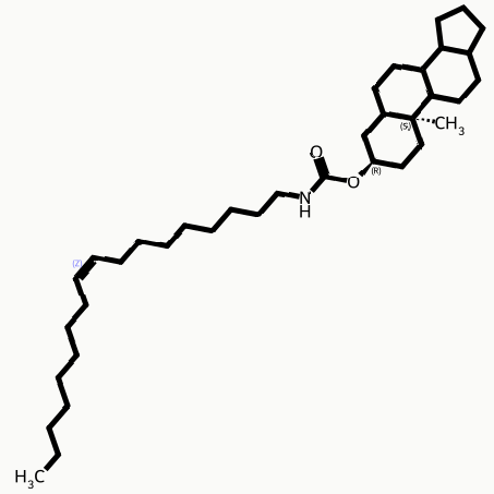 CCCCCCCC/C=C\CCCCCCCCNC(=O)O[C@@H]1CC[C@@]2(C)C(CCC3C4CCCC4CCC32)C1